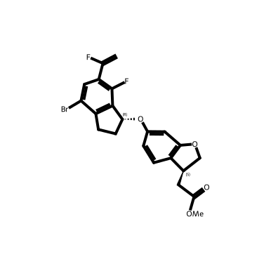 C=C(F)c1cc(Br)c2c(c1F)[C@H](Oc1ccc3c(c1)OC[C@H]3CC(=O)OC)CC2